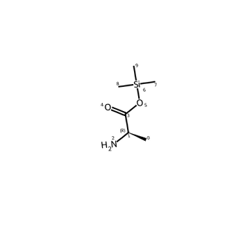 C[C@@H](N)C(=O)O[Si](C)(C)C